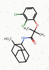 CC(C)(Oc1cccc(Cl)c1Cl)C(=O)NC1C2CC3CC(C2)CC1(C(=O)O)C3